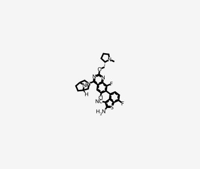 CN1CCC[C@H]1COc1nc(N2CC3CC[C@@H](C2)N3)c2cc(Cl)c(-c3ccc(F)c4sc(N)c(C#N)c34)c(F)c2n1